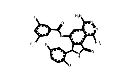 Nc1nnc(N)c2c3c(c(NC(=O)c4cc(F)cc(C(F)(F)F)c4)cc12)C(c1cc(F)ccc1Cl)NC3=O